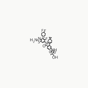 CC(CO)S(=O)(=O)Nc1ccc(C(=O)Nc2cc3sc(N)nc3c(N3CCC(F)(F)CC3)c2F)c(C2=CCC3(CC2)CC3)c1